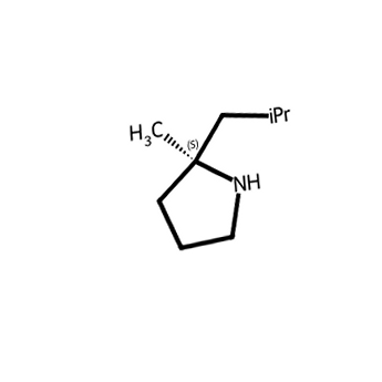 CC(C)C[C@]1(C)CCCN1